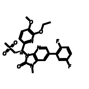 CCOc1nc([C@@H](CS(C)(=O)=O)n2c(=O)n(C)c3cc(-c4cc(F)ccc4F)cnc32)ccc1OC